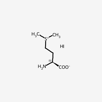 C[S+](C)CC[C@H](N)C(=O)[O-].I